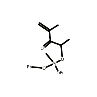 C=C(C)C(=O)C(C)O[Si](C)(CCC)OCC